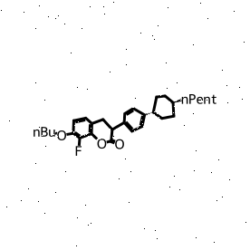 CCCCC[C@H]1CC[C@H](c2ccc(C3Cc4ccc(OCCCC)c(F)c4OC3=O)cc2)CC1